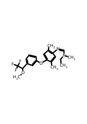 CCN(C)/C=N\c1cc(C)c(Oc2cccc(C(OC)C(F)(F)F)c2)cc1C